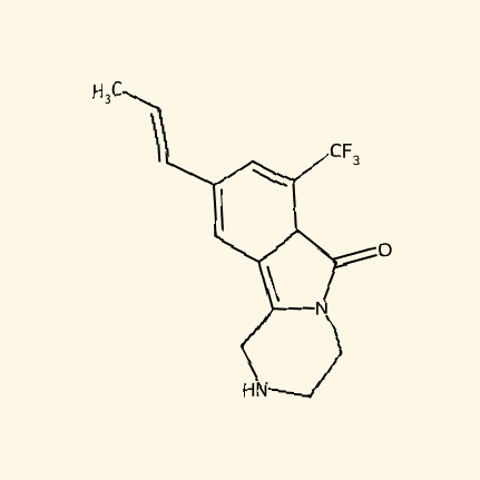 CC=CC1=CC2=C3CNCCN3C(=O)C2C(C(F)(F)F)=C1